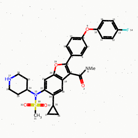 CNC(=O)c1c(-c2ccc(Oc3ccc(F)cc3)cc2)oc2cc(N(C3CCNCC3)S(C)(=O)=O)c(C3CC3)cc12